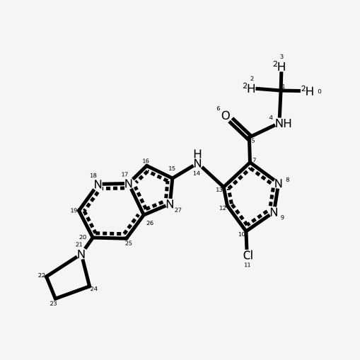 [2H]C([2H])([2H])NC(=O)c1nnc(Cl)cc1Nc1cn2ncc(N3CCC3)cc2n1